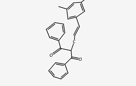 Cc1cc(C)cc(C=CCC(C(=O)c2ccccc2)C(=O)c2ccccc2)c1